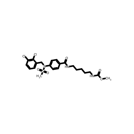 COC(=O)NCCCCCNC(=O)c1ccc(N(Cc2cccc(Cl)c2Cl)S(C)(=O)=O)cc1